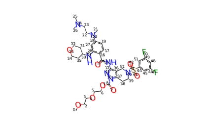 COCCOCCOC(=O)n1nc(NC(=O)c2ccc(N(C)CCN(C)C)cc2NC2CCOCC2)c2c1CCN(S(=O)(=O)c1cc(F)cc(F)c1)C2